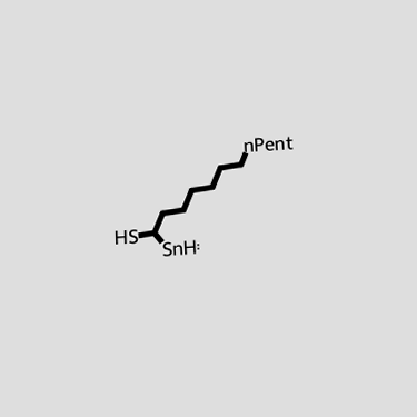 CCCCCCCCCCC[CH](S)[SnH]